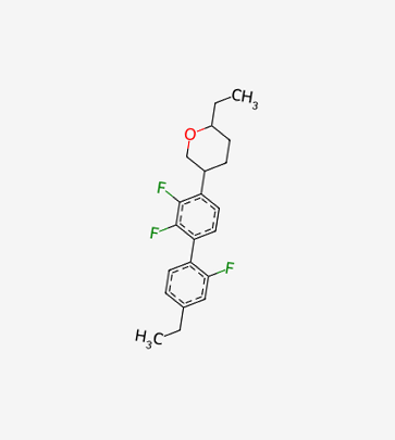 CCc1ccc(-c2ccc(C3CCC(CC)OC3)c(F)c2F)c(F)c1